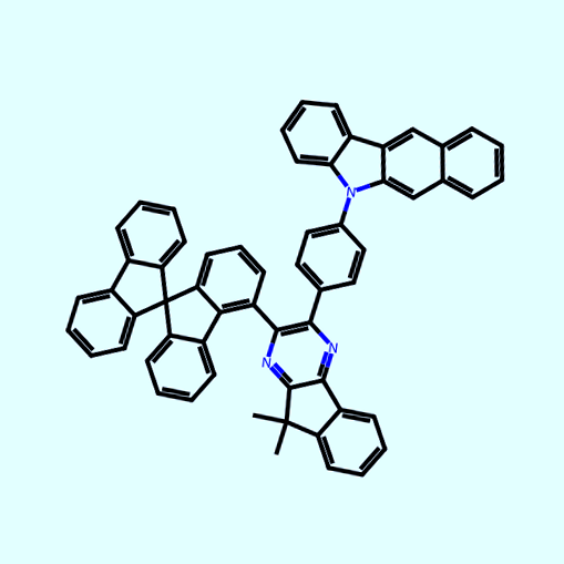 CC1(C)c2ccccc2-c2nc(-c3ccc(-n4c5ccccc5c5cc6ccccc6cc54)cc3)c(-c3cccc4c3-c3ccccc3C43c4ccccc4-c4ccccc43)nc21